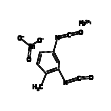 Cc1ccc(N=C=O)cc1N=C=O.[O]=[Sn]([O-])[O-].[Pb+2]